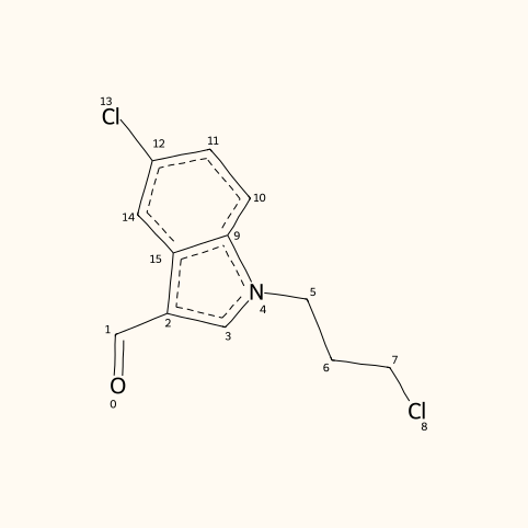 O=Cc1cn(CCCCl)c2ccc(Cl)cc12